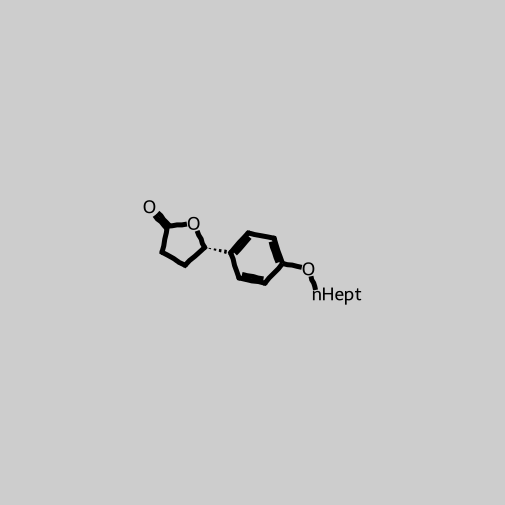 CCCCCCCOc1ccc([C@@H]2CCC(=O)O2)cc1